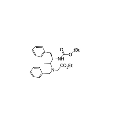 CCOC(=O)CN(Cc1ccccc1)C(C)[C@@H](Cc1ccccc1)NC(=O)OC(C)(C)C